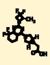 C[C@@H]1N(c2nc(N3C[C@@H]4[C@@H](CC(=O)O)[C@@H]4C3)c3c(n2)C(F)(F)CCC3)CC1(F)F